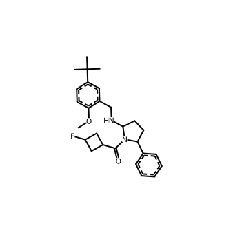 COc1ccc(C(C)(C)C)cc1CNC1CCC(c2ccccc2)N1C(=O)C1CC(F)C1